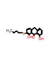 CCCCCSc1ccc2c(c1O)C(=O)c1c(O)cccc1C2